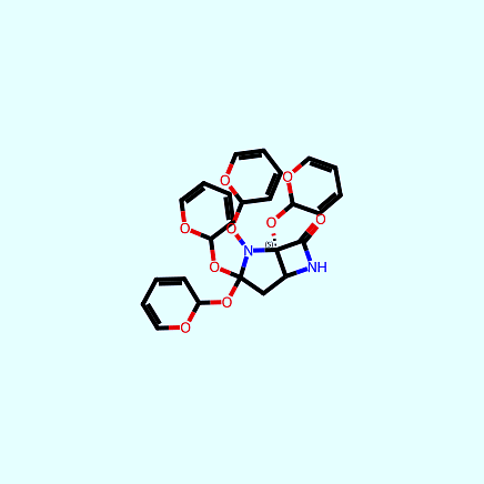 O=C1NC2CC(OC3C=CC=CO3)(OC3C=CC=CO3)N(OC3C=CC=CO3)[C@@]12OC1C=CC=CO1